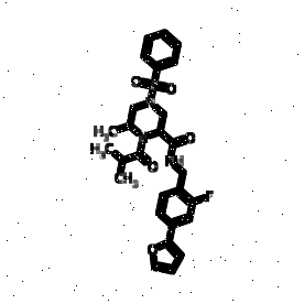 CC(C)C(=O)N1C(C)CN(S(=O)(=O)c2ccccc2)CC1C(=O)NCc1ccc(-c2ccco2)cc1F